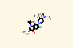 COc1c(N2CCC(N(C)C)C(C)C2)c(F)cc2c(=O)c(C(=O)O)cn(C3CC3)c12